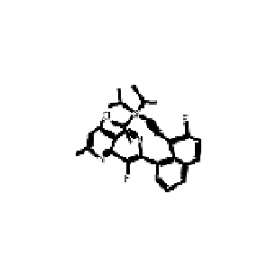 Cc1cc(Cl)c2cnc(-c3cccc4ccc(F)c(C#C[Si](C(C)C)(C(C)C)C(C)C)c34)c(F)c2n1